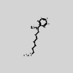 CCCCCCCCCCCCCCCCN(CC)c1ccccc1